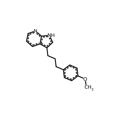 COc1ccc(CCCc2c[nH]c3ncccc23)cc1